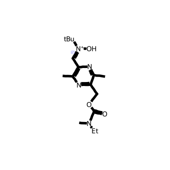 CCN(C)C(=O)OCc1nc(C)c(/C=[N+](\O)C(C)(C)C)nc1C